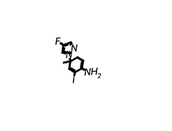 CC1(n2cc(F)cn2)C=C(I)C(N)=CC1